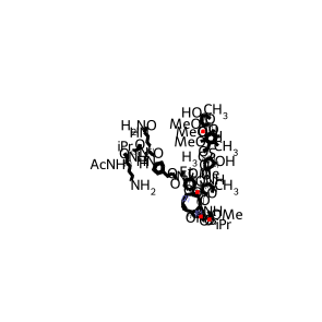 CCN(C(=O)OCc1ccc(NC(=O)[C@H](CCCNC(N)=O)NC(=O)[C@@H](NC(=O)[C@H](CCCCN)NC(C)=O)C(C)C)cc1)[C@H]1CO[C@@H](O[C@H]2[C@H](O[C@H]3C#C/C=C\C#C[C@]4(O)CC(=O)C(NC(=O)OC)=C3/C4=C\CSSC(C)C)O[C@H](C)[C@@H](NO[C@H]3C[C@H](O)[C@H](SC(=O)c4c(C)c(I)c(O[C@@H]5O[C@@H](C)[C@H](O)[C@@H](OC)[C@H]5O)c(OC)c4OC)[C@@H](C)O3)[C@@H]2O)C[C@@H]1OC